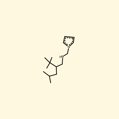 CC(C)CC(CNCn1cccc1)C(C)(C)C